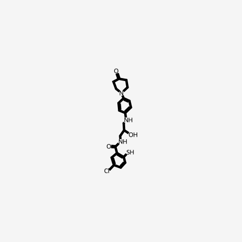 O=C1CCN(c2ccc(NCC(O)CNC(=O)c3cc(Cl)ccc3S)cc2)CC1